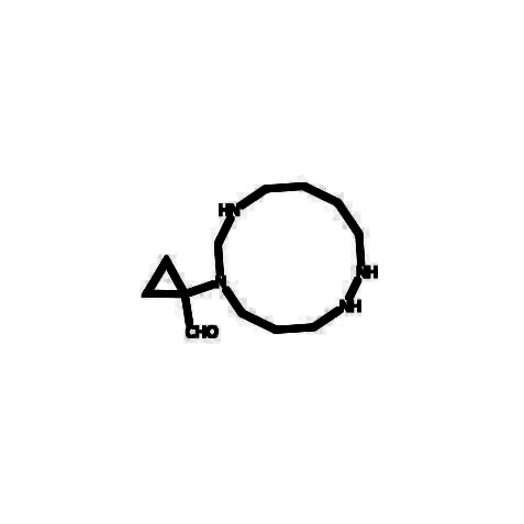 O=CC1(N2CCCNNCCCCNC2)CC1